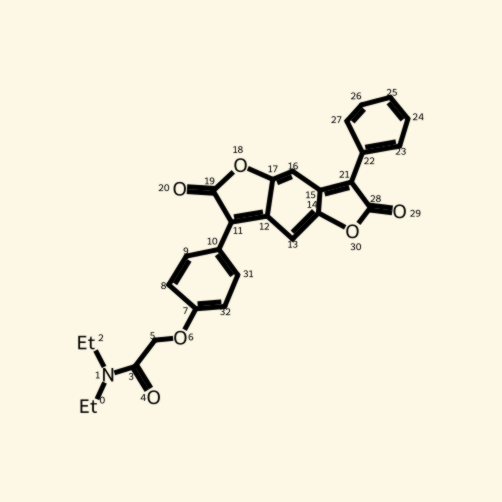 CCN(CC)C(=O)COc1ccc(C2=c3cc4c(cc3OC2=O)=C(c2ccccc2)C(=O)O4)cc1